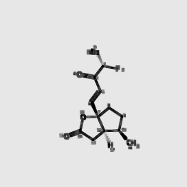 CCCC[C@H](F)C(=O)C=C[C@@]12CC[C@@H](C)[C@H]1CC(=O)O2